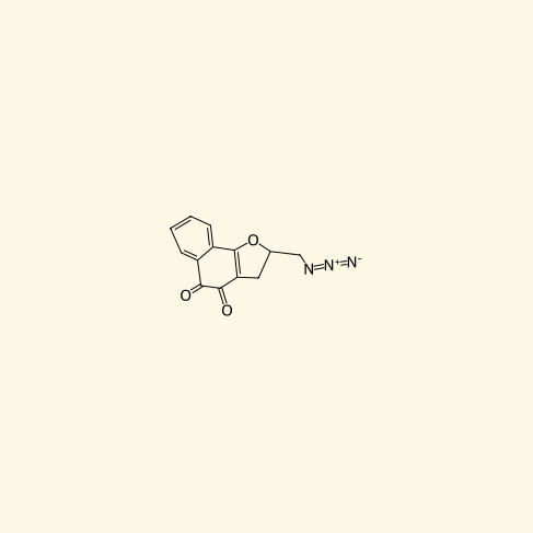 [N-]=[N+]=NCC1CC2=C(O1)c1ccccc1C(=O)C2=O